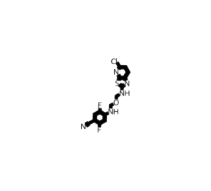 N#Cc1cc(F)c(NCOCNc2nc3ccc(Cl)nc3s2)cc1F